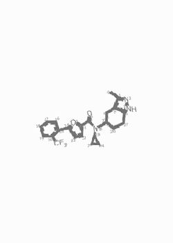 Cc1n[nH]c2c1CC(N(C(=O)c1ccc(-c3ccccc3C(F)(F)F)o1)C1CC1)CC2